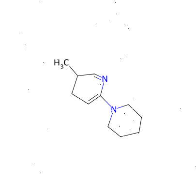 CC1C=NC(N2CCCCC2)=CC1